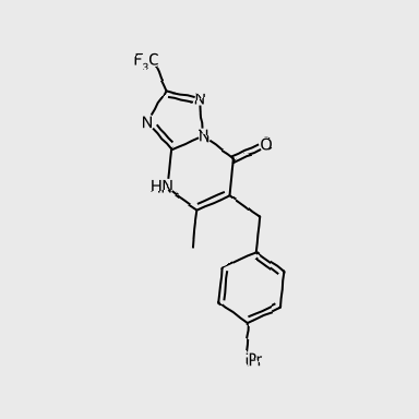 Cc1[nH]c2nc(C(F)(F)F)nn2c(=O)c1Cc1ccc(C(C)C)cc1